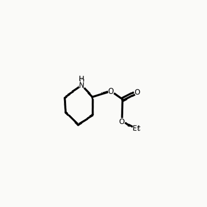 CCOC(=O)OC1CCCCN1